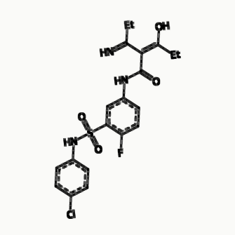 CCC(=N)/C(C(=O)Nc1ccc(F)c(S(=O)(=O)Nc2ccc(Cl)cc2)c1)=C(\O)CC